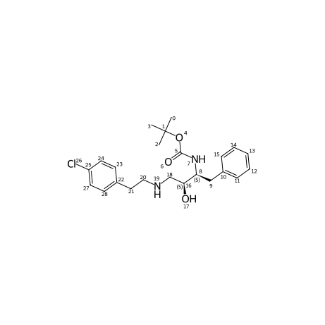 CC(C)(C)OC(=O)N[C@@H](Cc1ccccc1)[C@@H](O)CNCCc1ccc(Cl)cc1